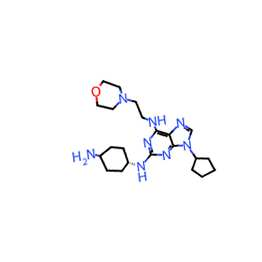 N[C@H]1CC[C@H](Nc2nc(NCCN3CCOCC3)c3ncn(C4CCCC4)c3n2)CC1